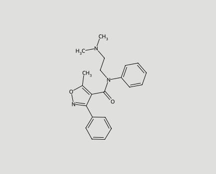 Cc1onc(-c2ccccc2)c1C(=O)N(CCN(C)C)c1ccccc1